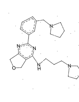 c1cc(CN2CCCC2)cc(-c2nc3c(c(NCCCN4CCCC4)n2)COC3)c1